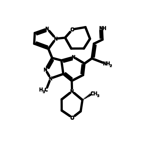 C[C@@H]1COCCN1c1cc(/C(N)=C/C=N)nc2c(-c3ccnn3C3CCCCO3)nn(C)c12